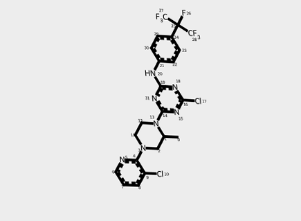 CC1CN(c2ncccc2Cl)CCN1c1nc(Cl)nc(Nc2ccc(C(F)(C(F)(F)F)C(F)(F)F)cc2)n1